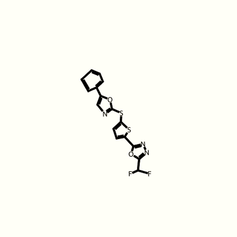 FC(F)c1nnc(-c2ccc(Sc3ncc(-c4ccccc4)o3)s2)o1